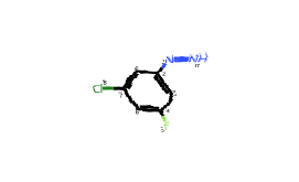 N=Nc1cc(F)cc(Cl)c1